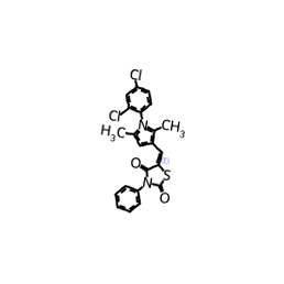 Cc1cc(/C=C2/SC(=O)N(c3ccccc3)C2=O)c(C)n1-c1ccc(Cl)cc1Cl